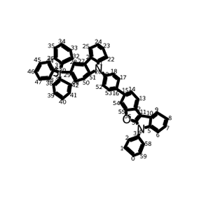 c1ccc(-n2c3ccccc3c3c4ccc(-c5ccc(-n6c7ccccc7c7cc([Si](c8ccccc8)(c8ccccc8)c8ccccc8)ccc76)cc5)cc4oc32)cc1